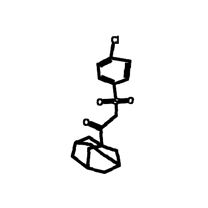 O=C(CS(=O)(=O)c1ccc(Cl)cc1)C12CC3CC(CC(C3)C1)C2